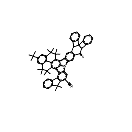 CC(C)(C)c1cc2c3c(c1)C(C)(C)C(C)(C)c1c-3c(c3c4cc5c(cc4n4c6cc(C#N)c7c(c6c1c34)-c1ccccc1C7(C)C)C(=O)C1c3ccccc3C13c1ccccc1C53)C(C)(C)C2(C)C